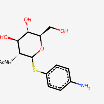 CC(=O)N[C@@H]1[C@@H](O)[C@H](O)[C@@H](CO)O[C@H]1Sc1ccc(N)cc1